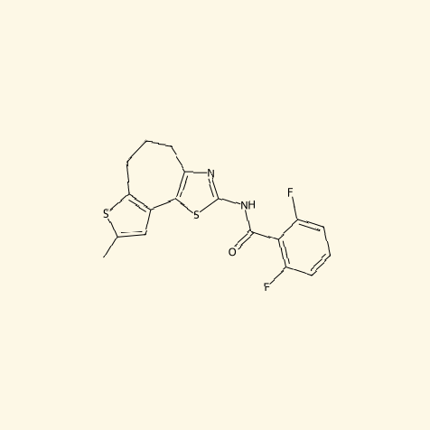 Cc1cc2c(s1)CCCc1nc(NC(=O)c3c(F)cccc3F)sc1-2